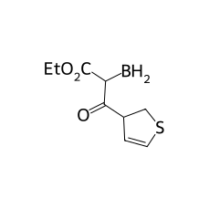 BC(C(=O)OCC)C(=O)C1C=CSC1